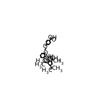 CC(C)c1cc(C(C)C)c(S(=O)(=O)Nc2ccccc2OCCOc2ccc(C(=O)O)cc2)c(C(C)C)c1